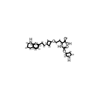 O=C(NC(CCO[C@H]1C[C@H](CCc2ccc3c(n2)NCCC3)C1)C(=O)O)O[C@H]1CCNC1